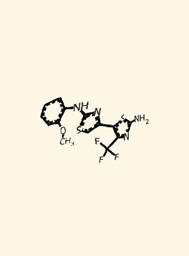 COc1ccccc1Nc1nc(-c2sc(N)nc2C(F)(F)F)cs1